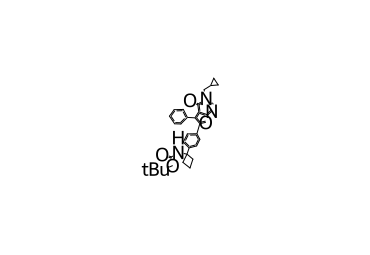 CC(C)(C)OC(=O)NC1(c2ccc(-c3oc4ncn(CC5CC5)c(=O)c4c3-c3ccccc3)cc2)CCC1